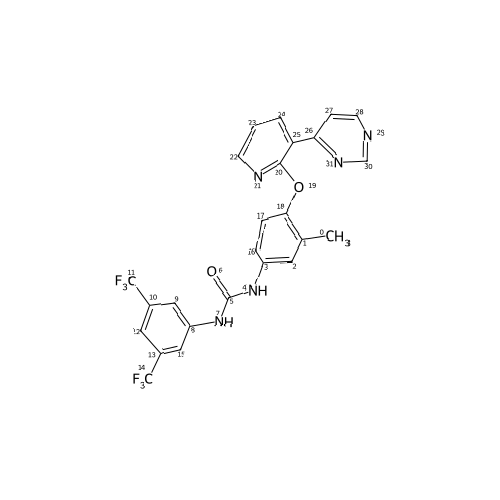 Cc1cc(NC(=O)Nc2cc(C(F)(F)F)cc(C(F)(F)F)c2)ccc1Oc1ncccc1-c1ccncn1